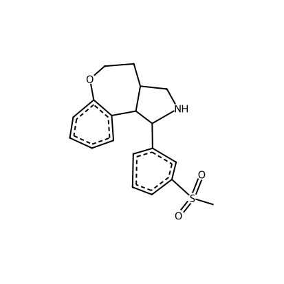 CS(=O)(=O)c1cccc(C2NCC3CCOc4ccccc4C32)c1